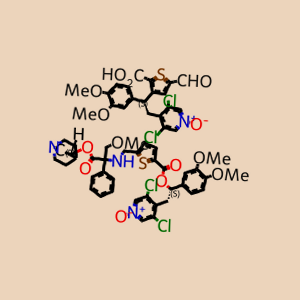 COCC(NCc1ccc(C(=O)O[C@@H](Cc2c(Cl)c[n+]([O-])cc2Cl)c2ccc(OC)c(OC)c2)s1)(C(=O)O[C@H]1CN2CCC1CC2)c1ccccc1.COc1ccc([C@H](Cc2c(Cl)c[n+]([O-])cc2Cl)c2cc(C=O)sc2C(=O)O)cc1OC